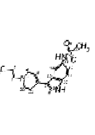 CCCN1CC=C(c2c[nH]c3ccc(NS(C)(=O)=O)cc23)CC1